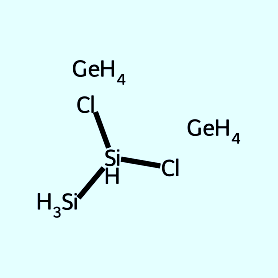 [GeH4].[GeH4].[SiH3][SiH](Cl)Cl